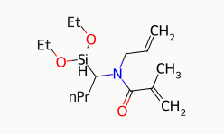 C=CCN(C(=O)C(=C)C)C(CCC)[SiH](OCC)OCC